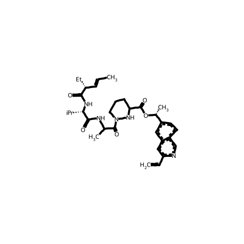 C=Cc1cc2cc([C@@H](C)OC(=O)C3CCCN(C(=O)C(C)NC(=O)[C@@H](NC(=O)[C@@H](/C=C/C)CC)C(C)C)N3)ccc2cn1